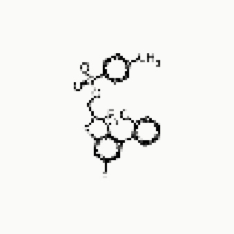 Cc1ccc(S(=O)(=O)OCC2Oc3c(cc(F)cc3-c3ccccc3C(F)(F)F)S2)cc1